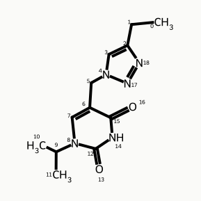 CCc1cn(Cc2cn(C(C)C)c(=O)[nH]c2=O)nn1